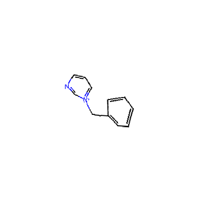 c1ccc(C[n+]2cccnc2)cc1